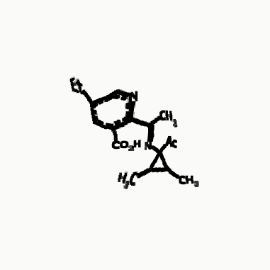 CCc1cnc(/C(C)=N/C2(C(C)=O)C(C)C2C)c(C(=O)O)c1